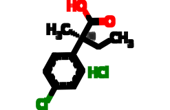 CC[C@](C)(C(=O)O)c1ccc(Cl)cc1.Cl